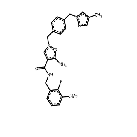 COc1cccc(CNC(=O)c2cn(Cc3ccc(Cn4cc(C)cn4)cc3)nc2N)c1F